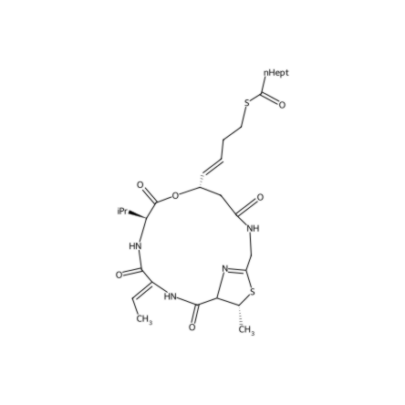 C/C=C1\NC(=O)C2N=C(CNC(=O)C[C@@H](/C=C/CCSC(=O)CCCCCCC)OC(=O)[C@H](C(C)C)NC1=O)S[C@@H]2C